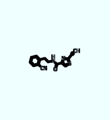 C#Cc1nc(C(=O)NCCc2ccccc2C#N)cs1